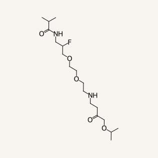 CC(C)OCC(=O)CCNCCOCCOCC(F)CNC(=O)C(C)C